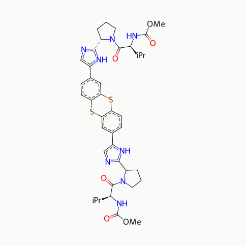 COC(=O)N[C@H](C(=O)N1CCCC1c1ncc(-c2ccc3c(c2)Sc2ccc(-c4cnc([C@@H]5CCCN5C(=O)[C@@H](NC(=O)OC)C(C)C)[nH]4)cc2S3)[nH]1)C(C)C